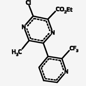 CCOC(=O)c1nc(-c2cccnc2C(F)(F)F)c(C)nc1Cl